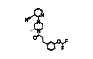 C[C@@H]1CN(c2ncccc2C#N)CCN1C(=O)C=Cc1cccc(OC(F)F)c1